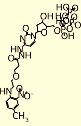 Cc1ccc(NCCOCCC(=O)NNc2ccn(C3CC(O)C(COP(=O)(O)OP(=O)(O)OP(=O)(O)O)O3)c(=O)n2)c([N+](=O)[O-])c1